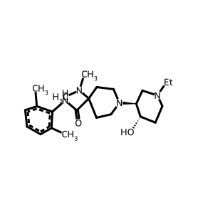 CCN1CC[C@H](O)[C@@H](N2CCC(C(=O)Nc3c(C)cccc3C)(N(C)C)CC2)C1